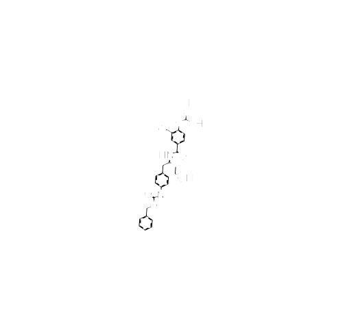 CC(C)Oc1ccc(C(=O)N[C@H](CCO)Cc2ccc(NC(=O)OCc3ccccc3)cc2)cc1Cl